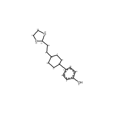 Oc1ccc(C2CCC(CCC3OCCO3)CC2)cc1